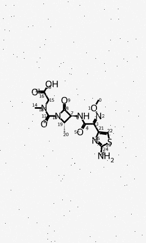 CO/N=C(\C(=O)N[C@@H]1C(=O)N(C(=O)N(C)CC(=O)O)[C@H]1C)c1csc(N)n1